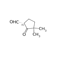 CC1(C)CC[C@@H](C=O)C1=O